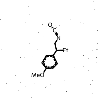 CCC(CN=C=O)c1ccc(OC)cc1